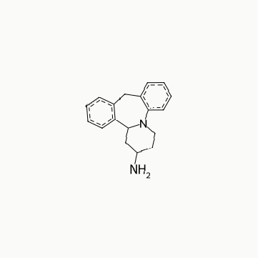 NC1CCN2c3ccccc3Cc3ccccc3C2C1